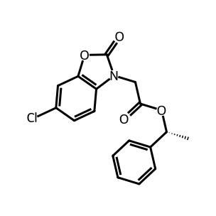 C[C@@H](OC(=O)Cn1c(=O)oc2cc(Cl)ccc21)c1ccccc1